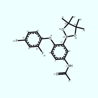 CC(=O)Nc1ccc(Oc2ccc(F)cc2F)c(B2OC(C)(C)C(C)(C)O2)c1